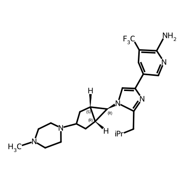 CC(C)Cc1nc(-c2cnc(N)c(C(F)(F)F)c2)cn1[C@H]1[C@@H]2CC(N3CCN(C)CC3)C[C@@H]21